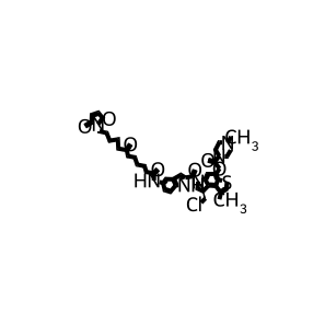 Cc1csc2c(OC(=O)N3CCN(C)CC3)cc3c(c12)[C@@H](CCl)CN3C(=O)c1cc2cc(NC(=O)CCCCCC(=O)CCCCCN3C(=O)C=CC3=O)ccc2[nH]1